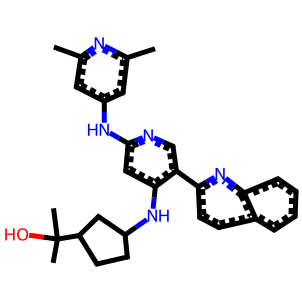 Cc1cc(Nc2cc(NC3CCC(C(C)(C)O)C3)c(-c3ccc4ccccc4n3)cn2)cc(C)n1